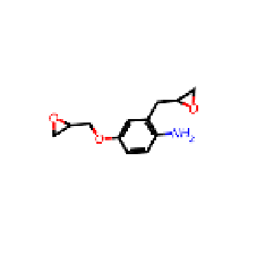 Nc1ccc(OCC2CO2)cc1CC1CO1